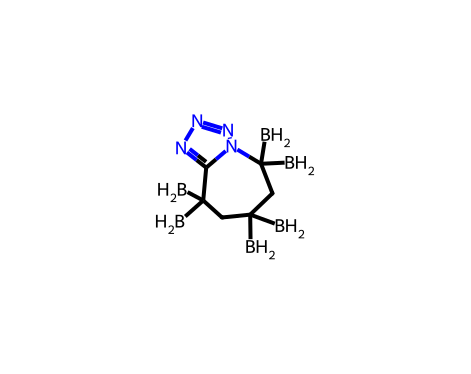 BC1(B)CC(B)(B)c2nnnn2C(B)(B)C1